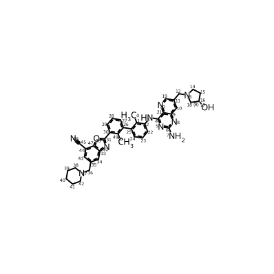 Cc1c(Nc2nc(N)nc3cc(CN4CC[C@@H](O)C4)cnc23)cccc1-c1cccc(-c2nc3cc(CN4CCCCC4)cc(C#N)c3o2)c1C